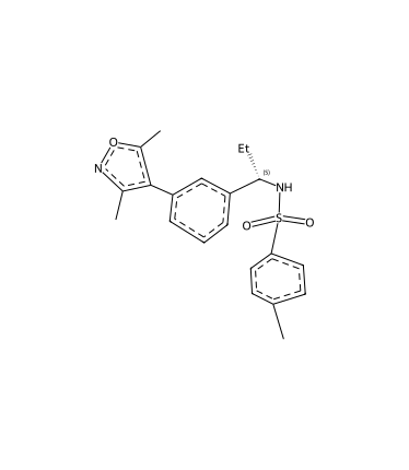 CC[C@H](NS(=O)(=O)c1ccc(C)cc1)c1cccc(-c2c(C)noc2C)c1